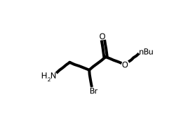 CCCCOC(=O)C(Br)CN